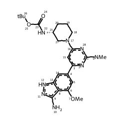 CNc1nc(-c2cc(OC)c3c(N)n[nH]c3c2)cc(N2CCC[C@@H](NC(=O)OC(C)(C)C)C2)n1